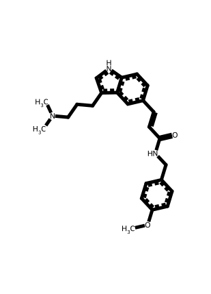 COc1ccc(CNC(=O)C=Cc2ccc3[nH]cc(CCCN(C)C)c3c2)cc1